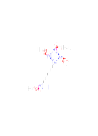 CC(C)(C)OC(=O)CN1CCN(CCCCCCCCCCCCNC(=O)OC(C)(C)C)CCN(CC(=O)OC(C)(C)C)CCN(CC(=O)OC(C)(C)C)CC1